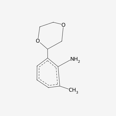 Cc1cccc(C2COCCO2)c1N